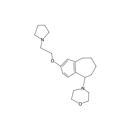 c1cc2c(cc1OCCN1CCCC1)CCCCC2N1CCOCC1